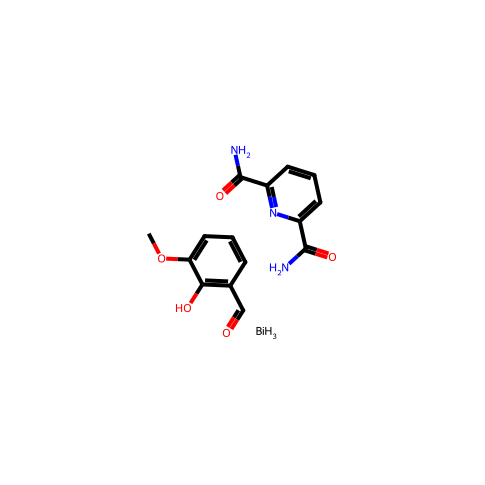 COc1cccc(C=O)c1O.NC(=O)c1cccc(C(N)=O)n1.[BiH3]